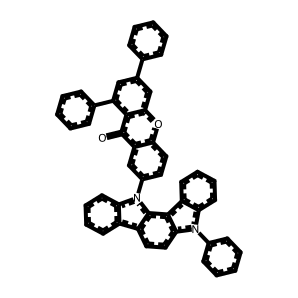 O=c1c2cc(-n3c4ccccc4c4ccc5c(c6ccccc6n5-c5ccccc5)c43)ccc2oc2cc(-c3ccccc3)cc(-c3ccccc3)c12